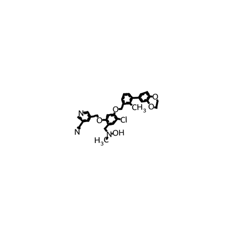 Cc1c(COc2cc(OCc3cncc(C#N)c3)c(CN(C)O)cc2Cl)cccc1-c1ccc2c(c1)OCCO2